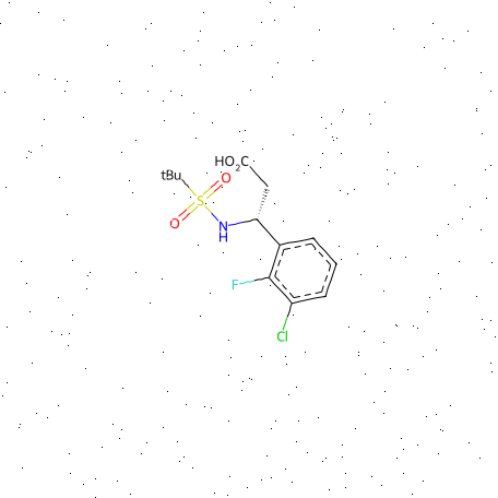 CC(C)(C)S(=O)(=O)N[C@H](CC(=O)O)c1cccc(Cl)c1F